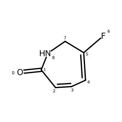 O=C1C=CC=C(F)CN1